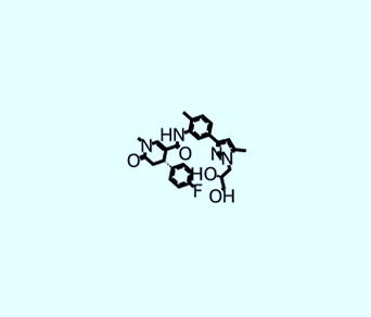 Cc1ccc(-c2cc(C)n(C[C@H](O)CO)n2)cc1NC(=O)C1=CN(C)C(=O)C[C@H]1c1ccc(F)cc1